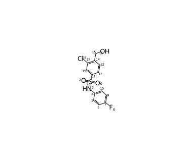 O=S(=O)(Nc1ccc(F)cc1)c1ccc(CO)c(Cl)c1